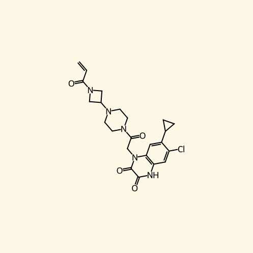 C=CC(=O)N1CC(N2CCN(C(=O)Cn3c(=O)c(=O)[nH]c4cc(Cl)c(C5CC5)cc43)CC2)C1